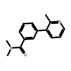 Cc1ncccc1-c1cccc(C(=O)N(C)C)c1